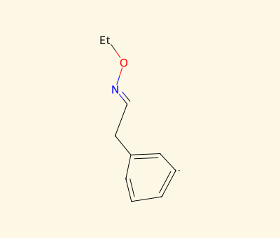 CCON=CCc1c[c]ccc1